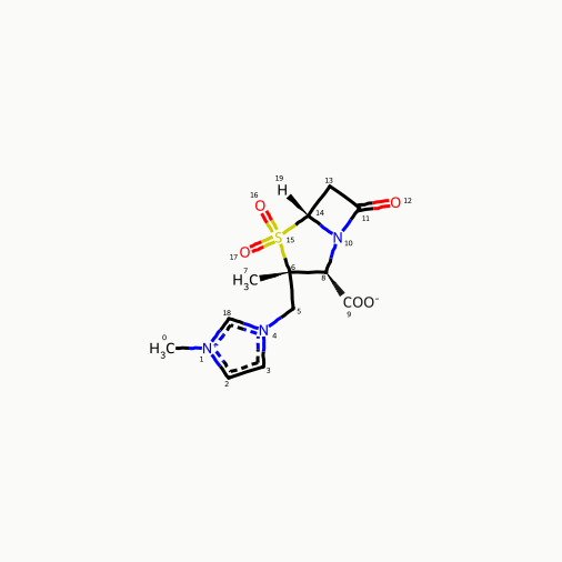 C[n+]1ccn(C[C@@]2(C)[C@H](C(=O)[O-])N3C(=O)C[C@H]3S2(=O)=O)c1